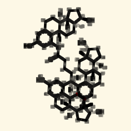 C[C@]12CC[C@@H]3c4c(cc(O)cc4OC(=O)CCCC(c4cc(O)cc5c4[C@H]4CC[C@]6(C)[C@H](O)CC[C@H]6[C@@H]4CC5)c4cc(O)cc5c4[C@H]4CC[C@]6(C)[C@H](O)CC[C@H]6[C@@H]4CC5)CC[C@H]3[C@@H]1CC[C@H]2O